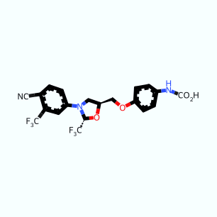 N#Cc1ccc(N2C[C@@H](COc3ccc(NC(=O)O)cc3)O[C@@H]2C(F)(F)F)cc1C(F)(F)F